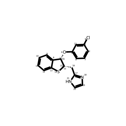 Clc1cccc(O[C@H]2c3ccccc3S[C@H]2Cc2ncc[nH]2)c1